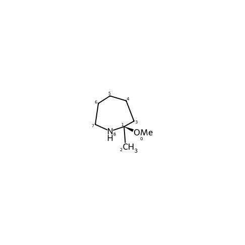 CO[C@]1(C)CCCCCN1